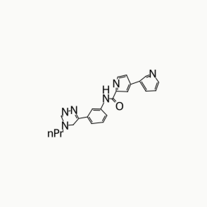 CCCN1C=NN=C(c2cccc(NC(=O)c3cc(-c4cccnc4)ccn3)c2)C1